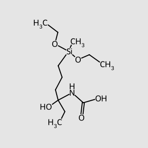 CCO[Si](C)(CCCC(O)(CC)NC(=O)O)OCC